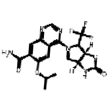 CC(C)Oc1cc2c(N3C[C@H]4NC(=O)O[C@H]4C3C(F)(F)F)ncnc2cc1C(N)=O